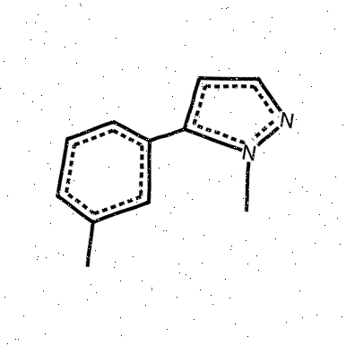 Cc1cccc(-c2ccnn2C)c1